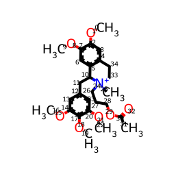 COc1cc2c(cc1OC)C(Cc1cc(OC)c(OC)c(OC)c1)[N+](C)(CCCOC(C)=O)CC2